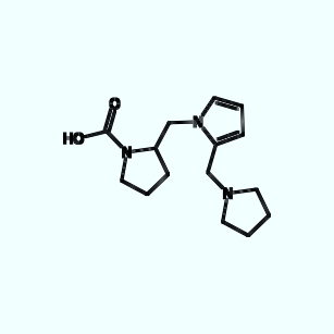 O=C(O)N1CCCC1Cn1cccc1CN1CCCC1